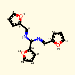 C(=NC(N=Cc1ccco1)c1ccco1)c1ccco1